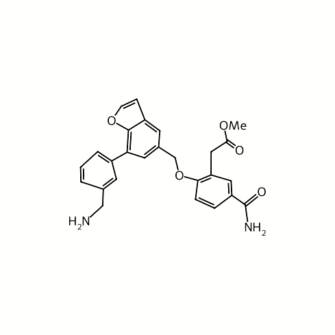 COC(=O)Cc1cc(C(N)=O)ccc1OCc1cc(-c2cccc(CN)c2)c2occc2c1